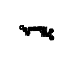 Cc1cc(S(=O)(=O)Nc2ccc(N3CCN(c4cccc(-c5cc(C)n(C)c5-c5ccc(Cl)cc5)c4)CC3)cc2)ccc1N[C@H](CCN1CCCCC1)CSc1ccccc1